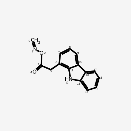 C=NOC(=O)Cc1cccc2c1[nH]c1ccccc12